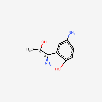 C[C@@H](O)[C@H](N)c1cc(N)ccc1O